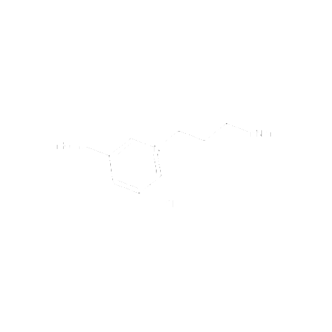 CCCCCCCCCCCC[n+]1cccc(CCCCC)c1.[Cl-]